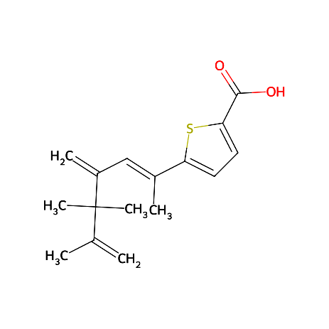 C=C(C)C(C)(C)C(=C)/C=C(\C)c1ccc(C(=O)O)s1